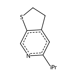 CC(C)c1cc2c(cn1)SCC2